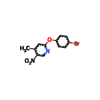 Cc1cc(Oc2ccc(Br)cc2)ncc1[N+](=O)[O-]